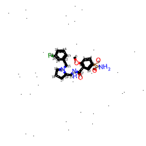 COc1ccc(S(N)(=O)=O)cc1C(=O)NCC1CCCN1Cc1cccc(F)c1